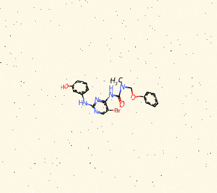 CN(COc1ccccc1)C(=O)Nc1nc(Nc2cccc(O)c2)ncc1Br